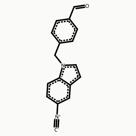 [C-]#[N+]c1ccc2c(ccn2Cc2ccc(C=O)cc2)c1